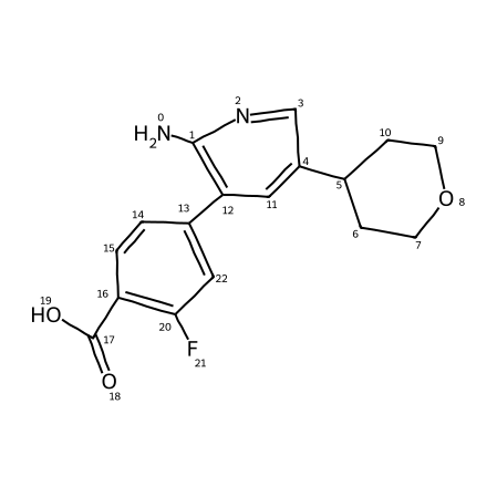 Nc1ncc(C2CCOCC2)cc1-c1ccc(C(=O)O)c(F)c1